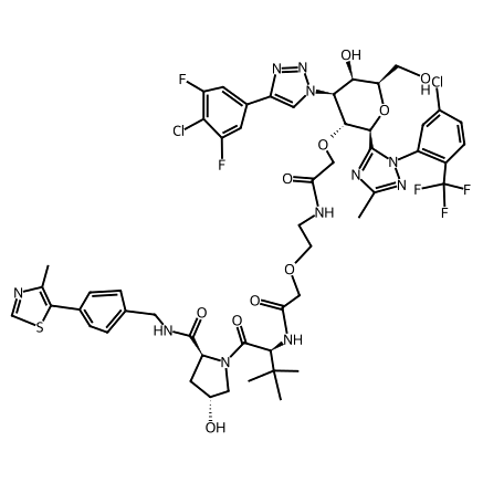 Cc1nc([C@@H]2O[C@H](CO)[C@H](O)[C@H](n3cc(-c4cc(F)c(Cl)c(F)c4)nn3)[C@H]2OCC(=O)NCCOCC(=O)N[C@H](C(=O)N2C[C@H](O)C[C@H]2C(=O)NCc2ccc(-c3scnc3C)cc2)C(C)(C)C)n(-c2cc(Cl)ccc2C(F)(F)F)n1